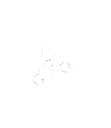 N#Cc1ccccc1Cn1nc(-c2ccc(Cl)cc2)c2c1CCNCC2